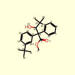 COC(=O)C(c1ccccc1)(c1cccc(C(C)(C)C)c1)C(O)C(C)(C)C